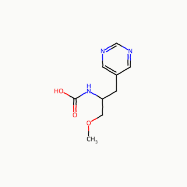 COCC(Cc1cncnc1)NC(=O)O